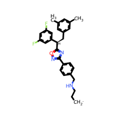 [CH2]CCNCc1ccc(-c2noc([C@H](Cc3cc(C)cc(C)c3)c3cc(F)cc(F)c3)n2)cc1